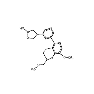 COCC1CCc2c(-c3cncc(C4COB(O)C4)c3)ccc(OC)c2O1